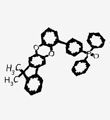 CC1(C)c2ccccc2-c2cc3c(cc21)Oc1cccc(-c2ccc(P(=O)(c4ccccc4)c4ccccc4)cc2)c1O3